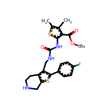 Cc1sc(NC(=O)NCc2c(-c3ccc(F)cc3)sc3c2CCNC3)c(C(=O)OC(C)(C)C)c1C